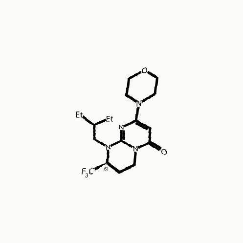 CCC(CC)CN1c2nc(N3CCOCC3)cc(=O)n2CC[C@H]1C(F)(F)F